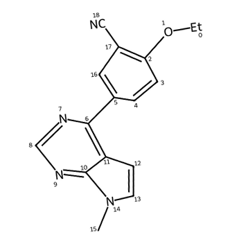 CCOc1ccc(-c2ncnc3c2ccn3C)cc1C#N